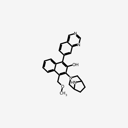 COCc1c(N2CC3CCC(C2)N3)c(O)c(-c2ccc3cncnc3c2)c2ccccc12